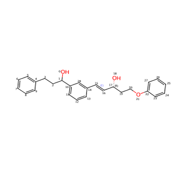 OC(CCc1ccccc1)c1cccc(/C=C/[C@H](O)CCOc2[c]cccc2)c1